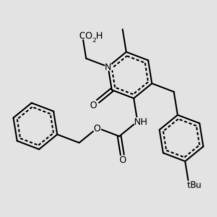 Cc1cc(Cc2ccc(C(C)(C)C)cc2)c(NC(=O)OCc2ccccc2)c(=O)n1CC(=O)O